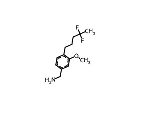 COc1cc(CN)ccc1CCCC(C)(F)F